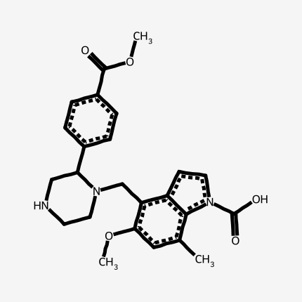 COC(=O)c1ccc(C2CNCCN2Cc2c(OC)cc(C)c3c2ccn3C(=O)O)cc1